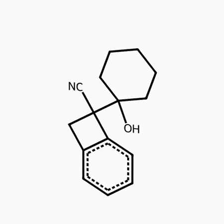 N#CC1(C2(O)CCCCC2)Cc2ccccc21